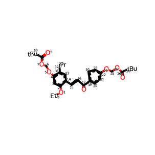 CCOc1cc(OCOC(=O)C(C)(C)C)c(C(C)C)cc1C=CC(=O)c1ccc(OCOC(=O)C(C)(C)C)cc1